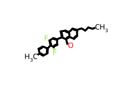 CCCCCc1ccc2c(C=O)c(-c3cc(F)c(-c4ccc(C)cc4)c(F)c3)ccc2c1